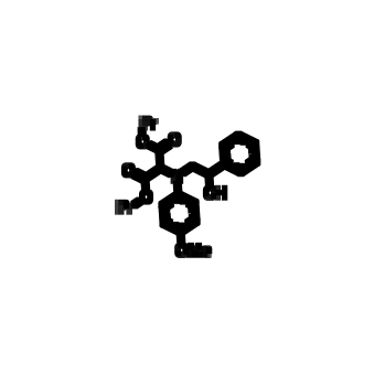 COc1ccc(N(CC(O)c2ccccc2)C(C(=O)OC(C)C)C(=O)OC(C)C)cc1